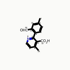 Cc1ccc(-c2nccc(C)c2C(=O)O)c(C=O)c1